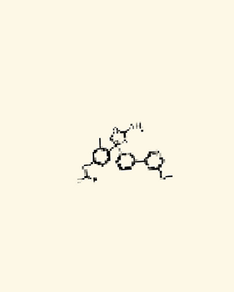 COc1cncc(-c2cccc([C@]3(c4ccc(OC(F)F)cc4C)COC(N)=N3)c2)c1